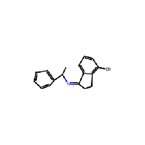 CC(/N=C1/CCc2c(C#N)cccc21)c1ccccc1